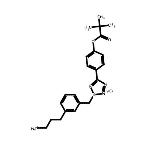 CC(C)(C)C(=O)Oc1ccc(-c2nnn(Cc3cccc(CCCN)c3)n2)cc1.Cl